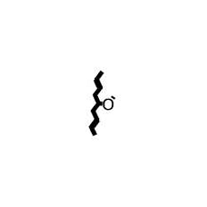 CC=CCC(CC=CC)OC